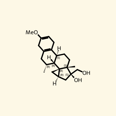 COC1=CCC2=C(C1)C[C@@H](C)[C@@H]1[C@@H]2CC[C@]2(C)[C@](O)(CO)C[C@H]3C[C@@]312